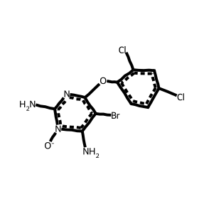 Nc1nc(Oc2ccc(Cl)cc2Cl)c(Br)c(N)[n+]1[O-]